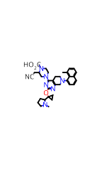 Cc1cccc2cccc(N3CCc4c(nc(OC5(C6CCCN6C)CC5)nc4N4CCN(C(=O)O)C(CC#N)C4)C3)c12